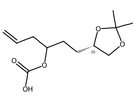 C=CCC(CC[C@H]1COC(C)(C)O1)OC(=O)O